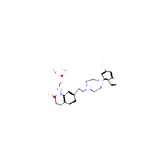 CCCCCCCCCCOC(=O)OCN1C(=O)CCc2ccc(CCN3CCN(c4cc(F)cc5sccc45)CC3)cc21